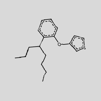 CCCCC(CCC)c1ccccc1Oc1ccsc1